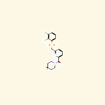 O=C(c1cccc(CS(=O)(=O)c2cccc(Cl)c2Cl)n1)N1CCC(F)(F)CC1